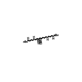 CCCCNCCCNCCCCCCCCNCCCNCCCC.Cl.Cl.Cl.Cl